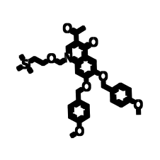 COc1ccc(COc2cc3c(=O)c(C(C)=O)cn(COCC[Si](C)(C)C)c3cc2OCc2ccc(OC)cc2)cc1